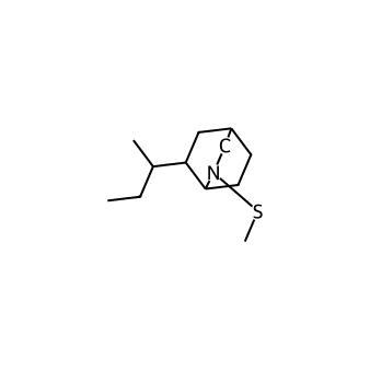 CCC(C)C1CC2CCC1N(SC)C2